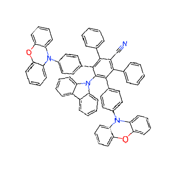 N#Cc1c(-c2ccccc2)c(-c2ccc(N3c4ccccc4Oc4ccccc43)cc2)c(-n2c3ccccc3c3ccccc32)c(-c2ccc(N3c4ccccc4Oc4ccccc43)cc2)c1-c1ccccc1